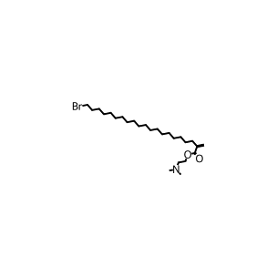 C=C(CCCCCCCCCCCCCCCCCCCBr)C(=O)OCCN(C)C